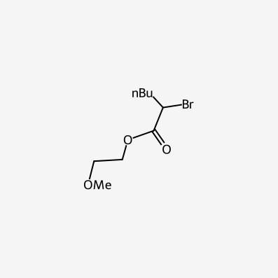 CCCCC(Br)C(=O)OCCOC